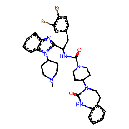 CN1CCC(n2c(C(Cc3ccc(Br)c(Br)c3)NC(=O)N3CCC(N4CCc5ccccc5NC4=O)CC3)nc3ccccc32)CC1